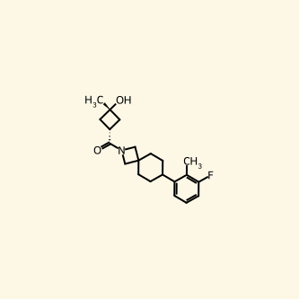 Cc1c(F)cccc1C1CCC2(CC1)CN(C(=O)[C@H]1C[C@@](C)(O)C1)C2